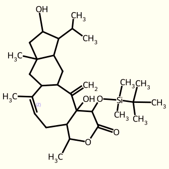 C=C1C2CC3C(C(C)C)C(O)CC3(C)CC2/C(C)=C\CC2C(C)OC(=O)C(O[Si](C)(C)C(C)(C)C)C12O